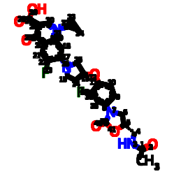 CC(=O)NC[C@H]1CN(c2ccc(O[C@H]3CCN(c4cc5c(cc4F)c(=O)c(C(=O)O)cn5C4CC4)C3)c(F)c2)C(=O)O1